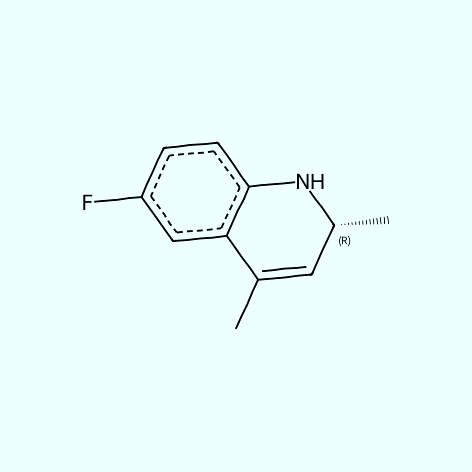 CC1=C[C@@H](C)Nc2ccc(F)cc21